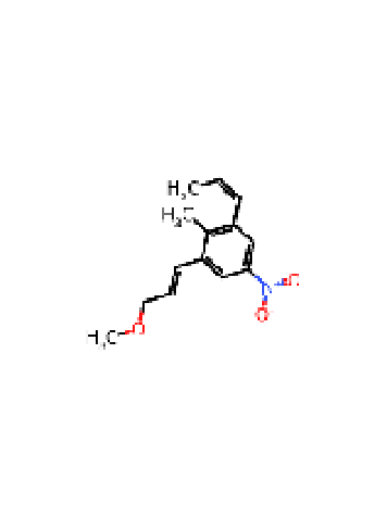 C/C=C\c1cc([N+](=O)[O-])cc(/C=C/COC)c1C